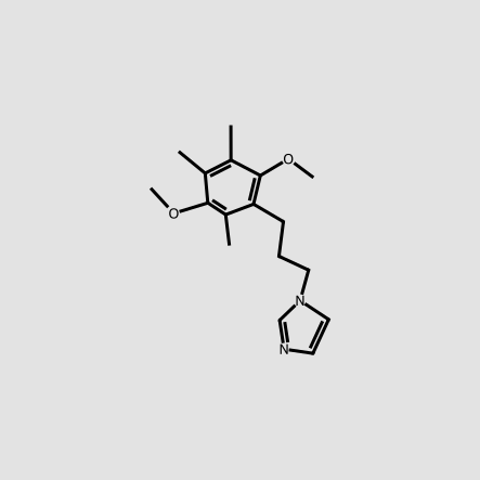 COc1c(C)c(C)c(OC)c(CCCn2ccnc2)c1C